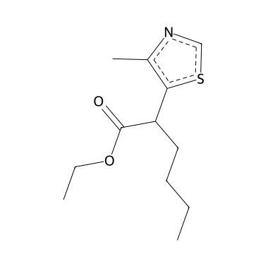 CCCCC(C(=O)OCC)c1scnc1C